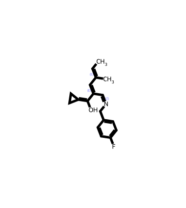 C/C=C(C)/C=C(\C=N/Cc1ccc(F)cc1)C(O)=C1CC1